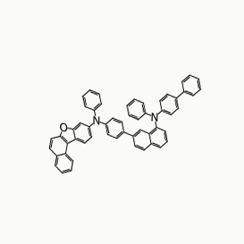 c1ccc(-c2ccc(N(c3ccccc3)c3cccc4ccc(-c5ccc(N(c6ccccc6)c6ccc7c(c6)oc6ccc8ccccc8c67)cc5)cc34)cc2)cc1